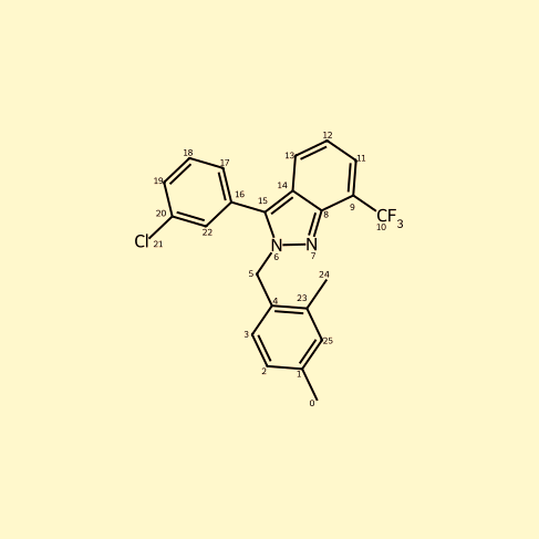 Cc1ccc(Cn2nc3c(C(F)(F)F)cccc3c2-c2cccc(Cl)c2)c(C)c1